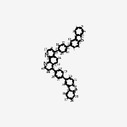 c1ccc2c(c1)sc1ccc(-c3ccc(-c4ccnc5c4ccc4c(-c6ccc(-c7ccc8sc9ccccc9c8c7)cc6)ccnc45)cc3)cc12